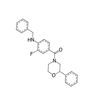 O=C(c1ccc(NCc2ccccc2)c(F)c1)N1CCOC(c2ccccc2)C1